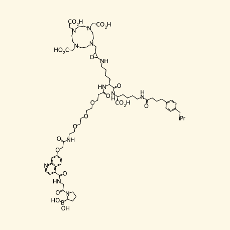 CC(C)Cc1ccc(CCCC(=O)NCCCC[C@H](NC(=O)[C@H](CCCCNC2OC2CN2CCN(CC(=O)O)CCN(CC(=O)O)CCN(CC(=O)O)CC2)NC(=O)CCOCCOCCOCCNC(=O)COc2ccc3c(C(=O)NCC(=O)N4CCC[C@H]4B(O)O)ccnc3c2)C(=O)O)cc1